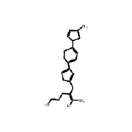 CC/C(C)=C(\CCCO)CC1=CC(C2=CC=C(C3C=CC(C)C3)CC2)=CC1